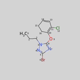 CCCn1nc(Br)nc1OC1=C(Cl)C=CCC1